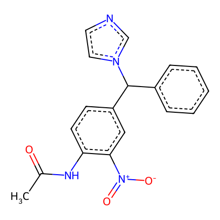 CC(=O)Nc1ccc(C(c2ccccc2)n2ccnc2)cc1[N+](=O)[O-]